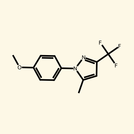 COc1ccc(-n2nc(C(F)(F)F)cc2C)cc1